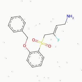 NC/C=C(\F)CS(=O)(=O)c1ccccc1OCc1ccccc1